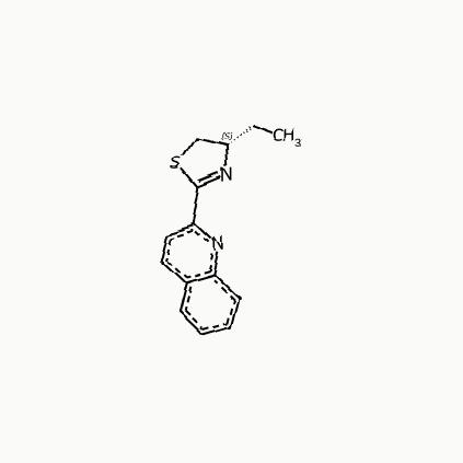 CC[C@H]1CSC(c2ccc3ccccc3n2)=N1